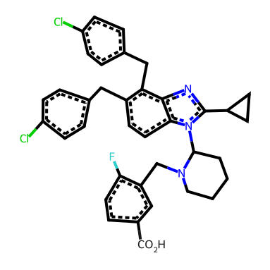 O=C(O)c1ccc(F)c(CN2CCCCC2n2c(C3CC3)nc3c(Cc4ccc(Cl)cc4)c(Cc4ccc(Cl)cc4)ccc32)c1